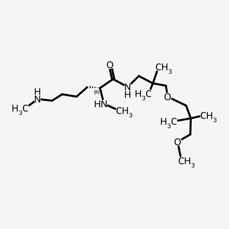 CNCCCC[C@@H](NC)C(=O)NCC(C)(C)COCC(C)(C)COC